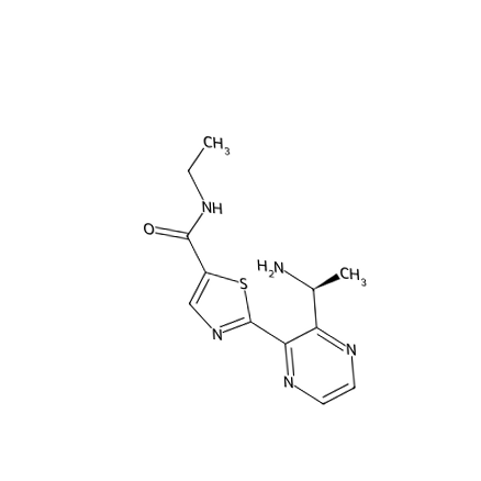 CCNC(=O)c1cnc(-c2nccnc2[C@H](C)N)s1